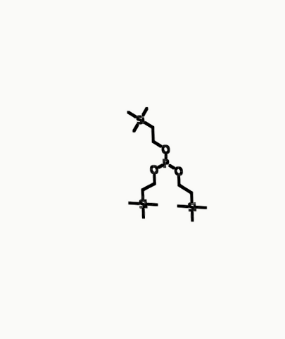 C[Si](C)(C)CCOP(OCC[Si](C)(C)C)OCC[Si](C)(C)C